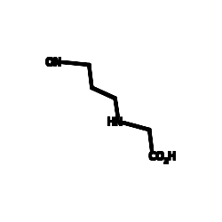 O=NCCCNCC(=O)O